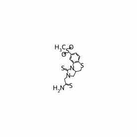 CS(=O)(=O)c1ccc2c(c1)N1C(=S)N(CC(N)=S)CC1CS2